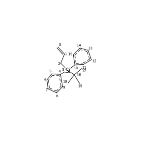 C=CC[Si](c1ccccc1)(c1ccccc1)C(C)(C)C